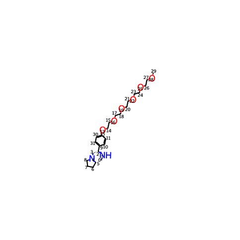 CN[C@H](CN1CCCC1)c1ccc(OCCOCCOCCOCCOCCOC)cc1